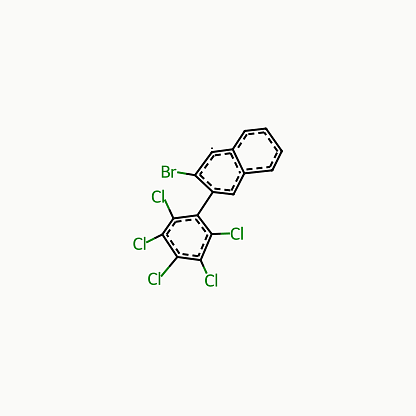 Clc1c(Cl)c(Cl)c(-c2cc3ccccc3[c]c2Br)c(Cl)c1Cl